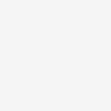 CCN1CCN(c2cc3c(cc2F)c(=O)c(C(=O)O)cn3C2CC2)CC1.O=C(O)c1cccc(Cl)c1